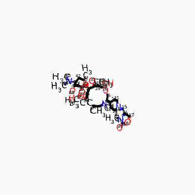 CO[C@]1(C)C[C@@H](C)CN(C)C(C2CCN(C[C@@H]3COC(=O)N3C)CC2)CO[C@@H](O)C(C)(C)C(=O)[C@H](C)[C@H]1O[C@@H]1O[C@H](C)C[C@H](N(C)C)[C@H]1O